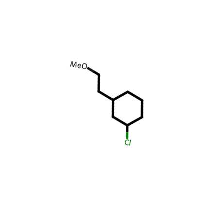 COCCC1CCCC(Cl)C1